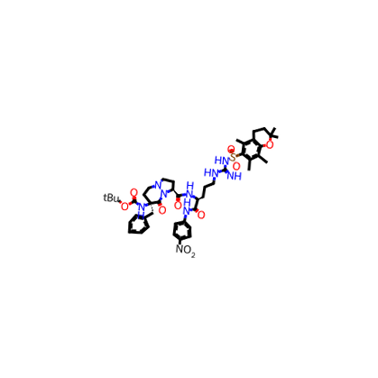 Cc1c(C)c(S(=O)(=O)NC(=N)NCCC[C@H](NC(=O)[C@@H]2CCN3CC[C@](Cc4ccccc4)(NC(=O)OC(C)(C)C)C(=O)N23)C(=O)Nc2ccc([N+](=O)[O-])cc2)c(C)c2c1OC(C)(C)CC2